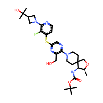 C[C@@H]1OCC2(CCN(c3ncc(Sc4ccnc(N5CC(C(C)(C)O)C5)c4F)nc3CO)CC2)[C@@H]1NC(=O)OC(C)(C)C